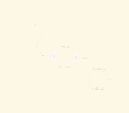 C[C@H](CO)CN1CCN(Cc2ccccc2)CC1